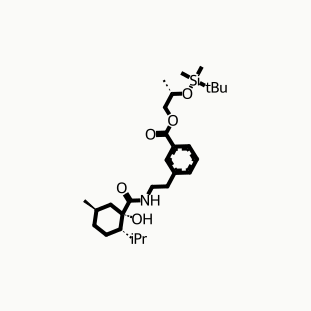 CC(C)[C@@H]1CC[C@@H](C)C[C@@]1(O)C(=O)NCCc1cccc(C(=O)OC[C@H](C)O[Si](C)(C)C(C)(C)C)c1